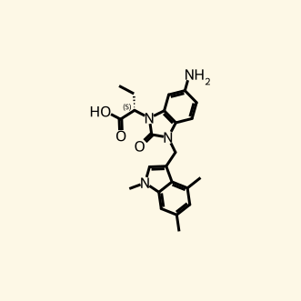 CC[C@@H](C(=O)O)n1c(=O)n(Cc2cn(C)c3cc(C)cc(C)c23)c2ccc(N)cc21